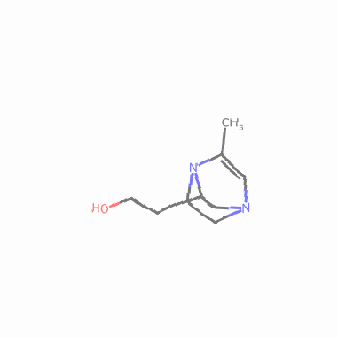 CC1=CN2CCN1C(CCO)C2